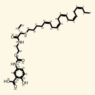 CC/C=C\C/C=C\C/C=C\C/C=C\C/C=C\CCCCS[C@@H](CC)C(=O)NCCOC(=O)Nc1ccc(O)c(C(=O)O)c1